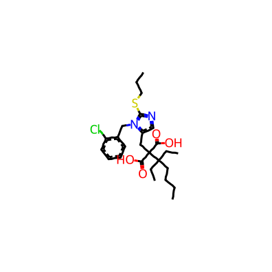 CCCCC(CC)(CC)C(Cc1cnc(SCCC)n1Cc1ccccc1Cl)(C(=O)O)C(=O)O